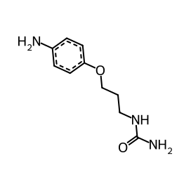 NC(=O)NCCCOc1ccc(N)cc1